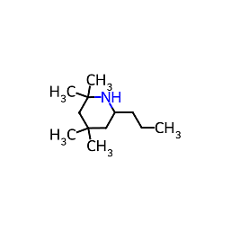 CCCC1CC(C)(C)CC(C)(C)N1